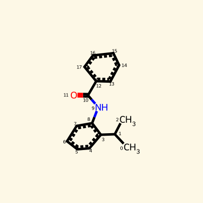 CC(C)c1ccccc1NC(=O)c1ccccc1